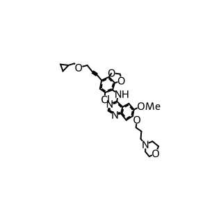 COc1cc2c(Nc3c(Cl)cc(C#CCOCC4CC4)c4c3OCO4)ncnc2cc1OCCCN1CCOCC1